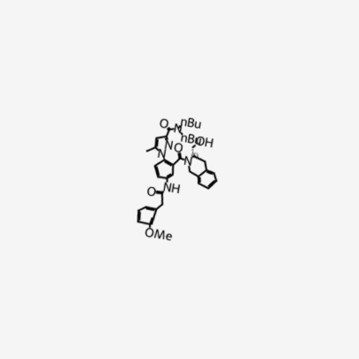 CCCCN(CCCC)C(=O)c1cc(C)n(-c2ccc(NC(=O)Cc3cccc(OC)c3)cc2C(=O)N2Cc3ccccc3C[C@H]2CO)n1